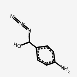 [N-]=[N+]=NC(O)c1ccc(N)cc1